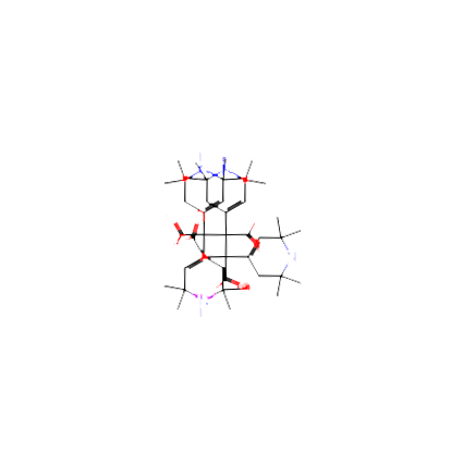 CC1(C)C=C(C(CC(=O)O)(C(=O)O)C(C(=O)O)(C2=CC(C)(C)NC(C)(C)C2)C(C(=O)O)(C2=CC(C)(C)NC(C)(C)C2)C2=CC(C)(C)NC(C)(C)C2)CC(C)(C)N1